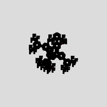 N#Cc1cc(-n2c3ccc(-c4cc(C(F)(F)F)cc(C(F)(F)F)c4)cc3c3cc(-c4cc(C(F)(F)F)cc(C(F)(F)F)c4)ccc32)c(-n2c3ccc(-c4cc(C(F)(F)F)cc(C(F)(F)F)c4)cc3c3cc(-c4cc(C(F)(F)F)cc(C(F)(F)F)c4)ccc32)cc1-c1c(C(F)(F)F)cccc1C(F)(F)F